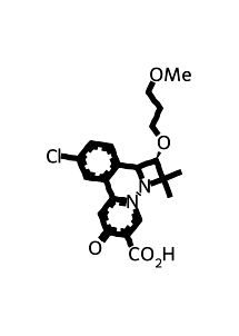 COCCCO[C@H]1C2c3ccc(Cl)cc3-c3cc(=O)c(C(=O)O)cn3N2C1(C)C